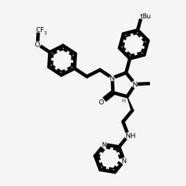 CN1C(c2ccc(C(C)(C)C)cc2)N(CCc2ccc(OC(F)(F)F)cc2)C(=O)[C@@H]1CCNc1ncccn1